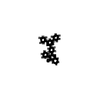 O=c1c2ccccc2nc(-c2ccc(-c3nc(-c4ccccc4)cc(-c4ccccc4)n3)cc2)n1-c1ccccc1